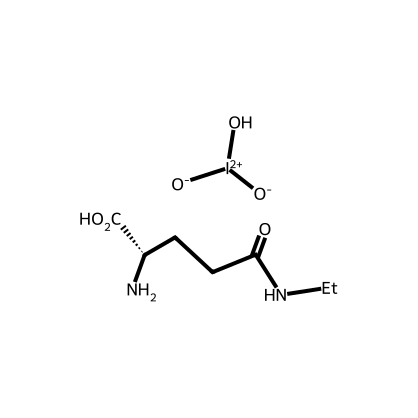 CCNC(=O)CC[C@H](N)C(=O)O.[O-][I+2]([O-])O